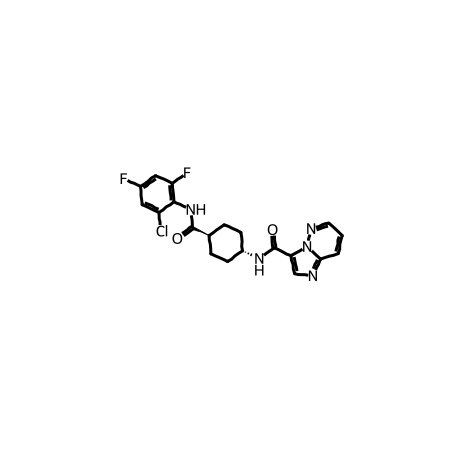 O=C(N[C@H]1CC[C@H](C(=O)Nc2c(F)cc(F)cc2Cl)CC1)c1cnc2cccnn12